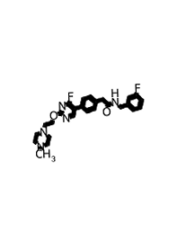 CN1CCN(CCOc2ncc(-c3ccc(CC(=O)NCc4cccc(F)c4)cc3)c(F)n2)CC1